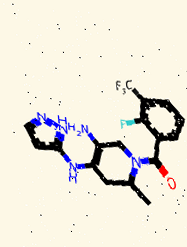 CC1CC(Nc2ccn[nH]2)=C(N)CN1C(=O)c1cccc(C(F)(F)F)c1F